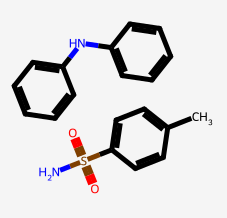 Cc1ccc(S(N)(=O)=O)cc1.c1ccc(Nc2ccccc2)cc1